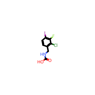 O=C(O)NCc1ccc(I)c(F)c1Cl